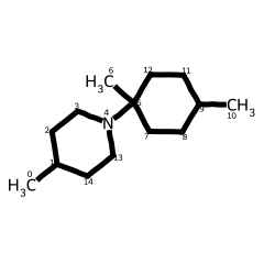 CC1CCN(C2(C)CCC(C)CC2)CC1